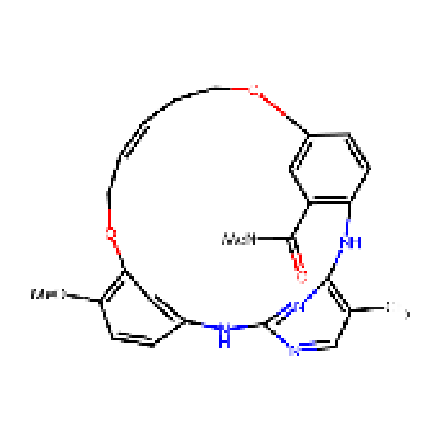 CNC(=O)c1cc2ccc1Nc1nc(ncc1C(F)(F)F)Nc1ccc(OC)c(c1)OC/C=C\CCO2